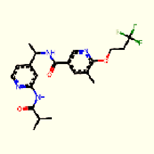 Cc1cc(C(=O)NC(C)c2ccnc(NC(=O)C(C)C)c2)cnc1OCCC(F)(F)F